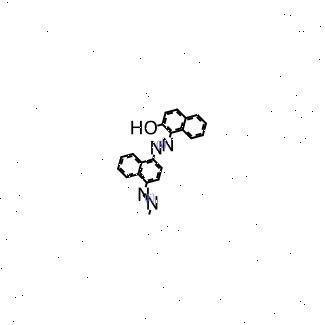 C/N=N/c1ccc(/N=N/c2c(O)ccc3ccccc23)c2ccccc12